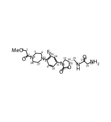 COCC(=O)N1CCN(c2ccc(N3C[C@H](CNC(=O)CN)OC3=O)cc2F)CC1